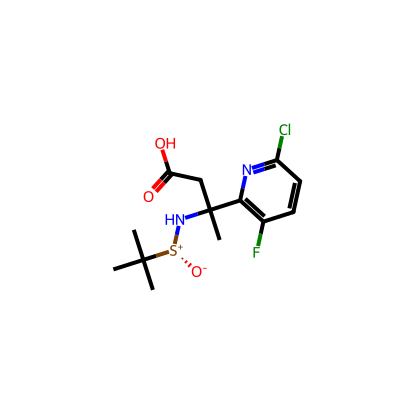 CC(CC(=O)O)(N[S@+]([O-])C(C)(C)C)c1nc(Cl)ccc1F